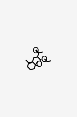 CCOC(=O)C(CC1=C(C)CCCC1(C)C)C(C)=O